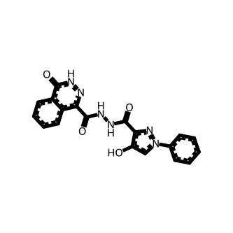 O=C(NNC(=O)c1n[nH]c(=O)c2ccccc12)c1nn(-c2ccccc2)cc1O